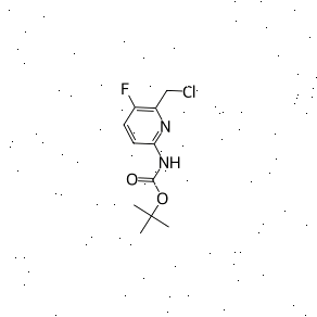 CC(C)(C)OC(=O)Nc1ccc(F)c(CCl)n1